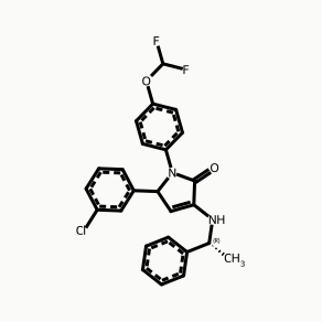 C[C@@H](NC1=CC(c2cccc(Cl)c2)N(c2ccc(OC(F)F)cc2)C1=O)c1ccccc1